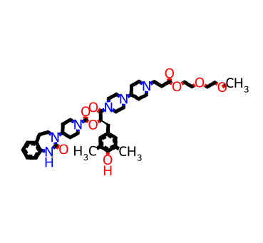 COCCOCCOC(=O)CCN1CCC(N2CCN(C(=O)[C@@H](Cc3cc(C)c(O)c(C)c3)OC(=O)N3CCC(N4CCc5ccccc5NC4=O)CC3)CC2)CC1